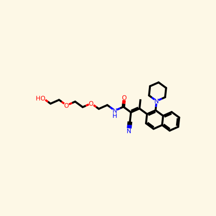 C/C(=C(/C#N)C(=O)NCCOCCOCCO)c1ccc2ccccc2c1N1CCCCC1